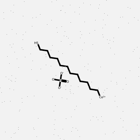 O=P([O-])([O-])[O-].SCCCCCCCCCCC[CH2][Ce+3]